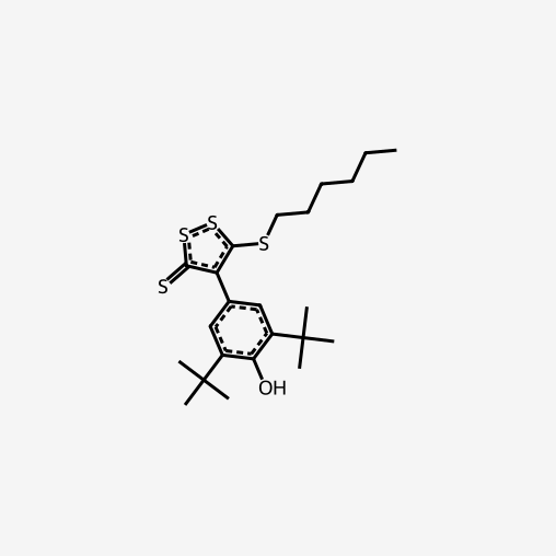 CCCCCCSc1ssc(=S)c1-c1cc(C(C)(C)C)c(O)c(C(C)(C)C)c1